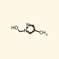 Cc1cnn(CO)c1